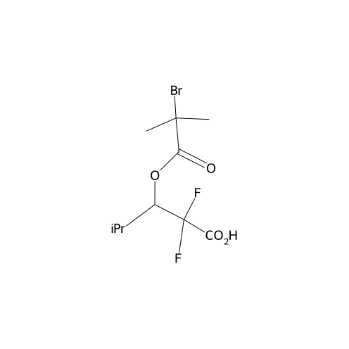 CC(C)C(OC(=O)C(C)(C)Br)C(F)(F)C(=O)O